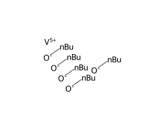 CCCC[O-].CCCC[O-].CCCC[O-].CCCC[O-].CCCC[O-].[V+5]